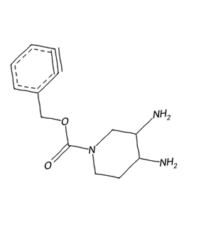 NC1CCN(C(=O)OCc2c#cccc2)CC1N